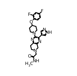 CNC(=O)CN1CCc2nc(N3CCC(Oc4ccc(F)cc4F)CC3)c(-c3cn[nH]c3)nc2C1